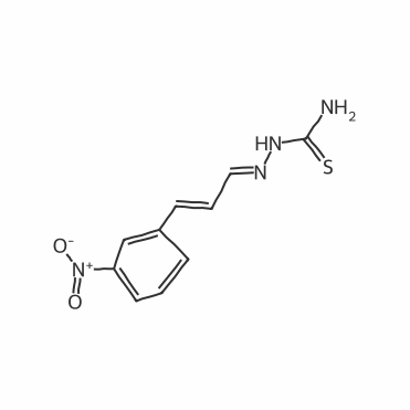 NC(=S)NN=CC=Cc1cccc([N+](=O)[O-])c1